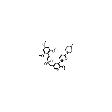 COc1cc(OC)c(/C=C/S(=O)(=O)Cc2cnc(OC)c(N/C=C\C(=O)N3CCN(C)CC3)c2)c(OC)c1